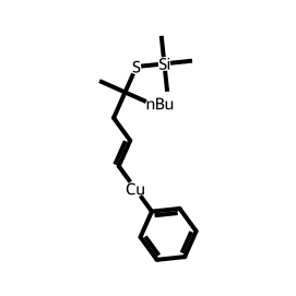 CCCCC(C)(C/C=[CH]/[Cu][c]1ccccc1)S[Si](C)(C)C